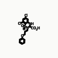 O=C(O)C1Nc2cc(Cl)cc(Cl)c2S(=O)(=O)N1CCCOc1ccccc1